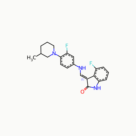 CC1CCCN(c2ccc(N/C=C3/C(=O)Nc4cccc(F)c43)cc2F)C1